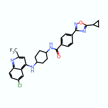 O=C(NC1CCC(Nc2cc(C(F)(F)F)nc3ccc(Cl)cc23)CC1)c1ccc(-c2noc(C3CC3)n2)cc1